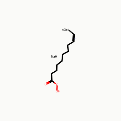 CCCCCCCC/C=C\CCCCCCCC(=O)OO.[NaH]